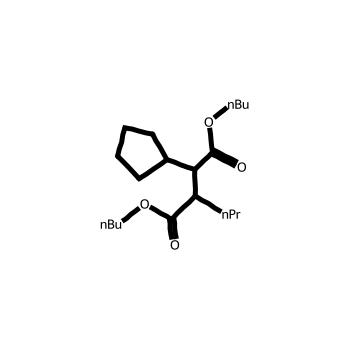 CCCCOC(=O)C(CCC)C(C(=O)OCCCC)C1CCCC1